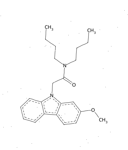 CCCCN(CCCC)C(=O)Cn1c2ccccc2c2ccc(OC)cc21